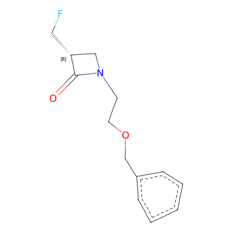 O=C1[C@H](CF)CN1CCOCc1ccccc1